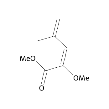 C=C(C)C=C(OC)C(=O)OC